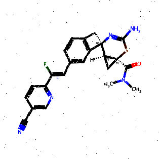 CN(C)C(=O)[C@]12C[C@H]1[C@]1(Cc3ccc(/C=C(\F)c4ccc(C#N)cn4)cc31)N=C(N)S2